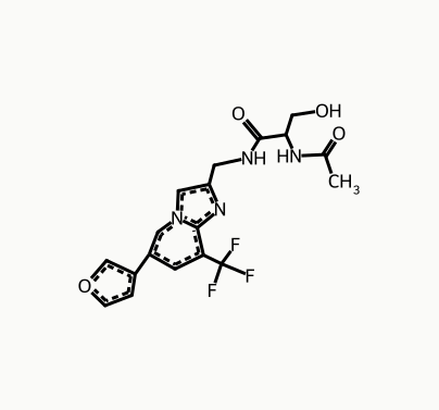 CC(=O)NC(CO)C(=O)NCc1cn2cc(-c3ccoc3)cc(C(F)(F)F)c2n1